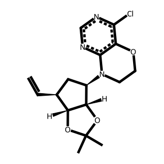 C=C[C@H]1C[C@@H](N2CCOc3c(Cl)ncnc32)[C@@H]2OC(C)(C)O[C@@H]21